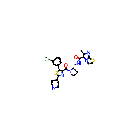 Cc1nc2sccn2c1C(=O)NC[C@@H]1CCCN1C(=O)c1nc(-c2ccncc2)sc1-c1cccc(Cl)c1